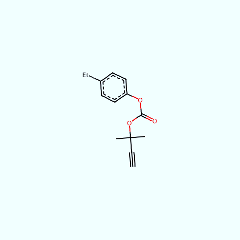 C#CC(C)(C)OC(=O)Oc1ccc(CC)cc1